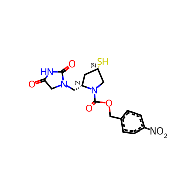 O=C1CN(C[C@@H]2C[C@H](S)CN2C(=O)OCc2ccc([N+](=O)[O-])cc2)C(=O)N1